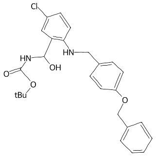 CC(C)(C)OC(=O)NC(O)c1cc(Cl)ccc1NCc1ccc(OCc2ccccc2)cc1